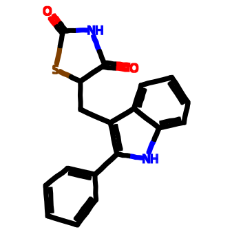 O=C1NC(=O)C(Cc2c(-c3ccccc3)[nH]c3ccccc23)S1